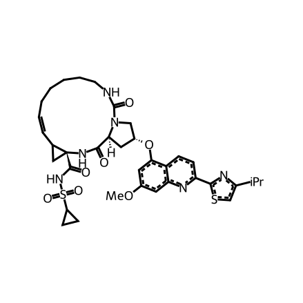 COc1cc(O[C@@H]2C[C@H]3C(=O)N[C@]4(C(=O)NS(=O)(=O)C5CC5)CC4/C=C\CCCCCNC(=O)N3C2)c2ccc(-c3nc(C(C)C)cs3)nc2c1